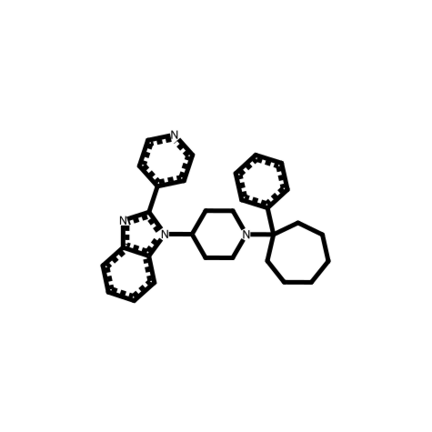 c1ccc(C2(N3CCC(n4c(-c5ccncc5)nc5ccccc54)CC3)CCCCCC2)cc1